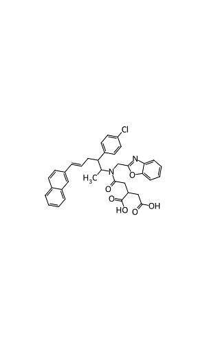 CC(C(CC=Cc1ccc2ccccc2c1)c1ccc(Cl)cc1)N(Cc1nc2ccccc2o1)C(=O)CC(CC(=O)O)C(=O)O